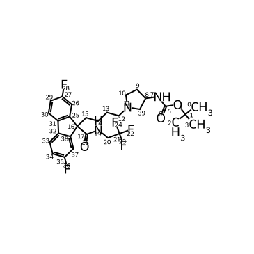 CC(C)(C)OC(=O)NC1CCN(CCCCC2(C(=O)NCC(F)(F)F)c3cc(F)ccc3-c3ccc(F)cc32)C1